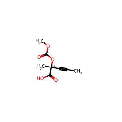 CC#C[C@@](C)(OC(=O)OC)C(=O)O